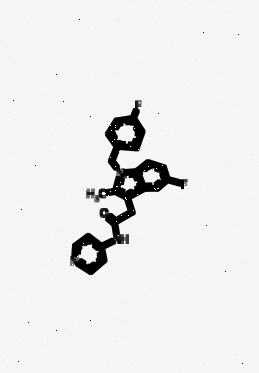 Cc1c(CC(=O)Nc2ccncc2)c2cc(F)ccc2n1Cc1ccc(F)cc1